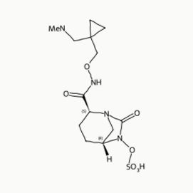 CNCC1(CONC(=O)[C@@H]2CC[C@@H]3CN2C(=O)N3OS(=O)(=O)O)CC1